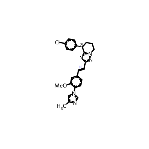 COc1cc(/C=C/c2nc3n(n2)CCC[C@@H]3c2ccc(Cl)cc2)ccc1-n1cnc(C)c1